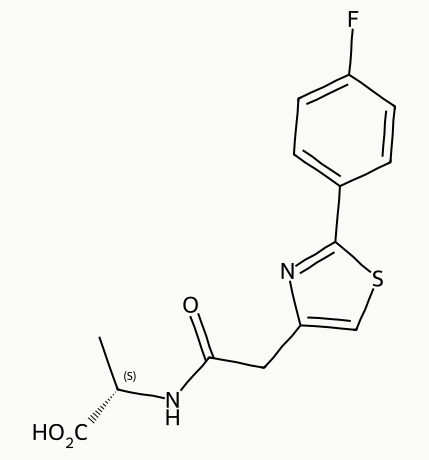 C[C@H](NC(=O)Cc1csc(-c2ccc(F)cc2)n1)C(=O)O